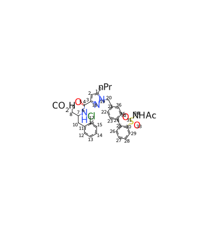 CCCc1cc(C(=O)NC(CC(=O)O)Cc2ccccc2Cl)nn1Cc1ccc(-c2ccccc2S(=O)(=O)NC(C)=O)cc1